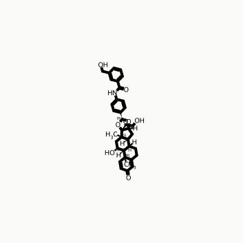 C[C@]12C=CC(=O)C=C1CC[C@@H]1[C@@H]2[C@@H](O)C[C@@]2(C)[C@H]1C[C@H]1O[C@@H](c3ccc(NC(=O)c4cccc(CO)c4)cc3)O[C@]12C(=O)CO